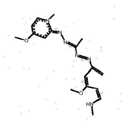 C=C(/C=C(\C=C/NC)OC)/N=N/C(C)=N/N=c1\cc(OC)ccn1C